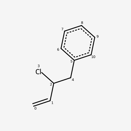 C=CC(Cl)Cc1ccccc1